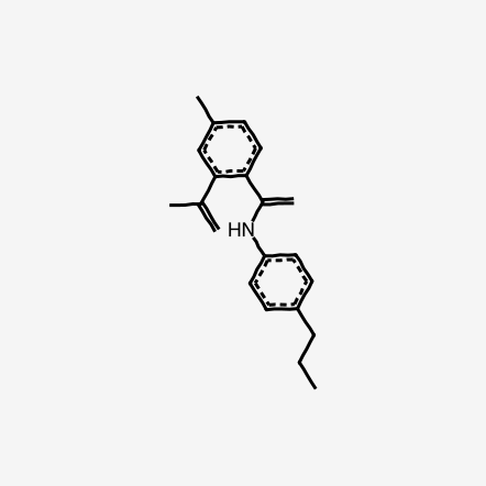 C=C(C)c1cc(C)ccc1C(=C)Nc1ccc(CCC)cc1